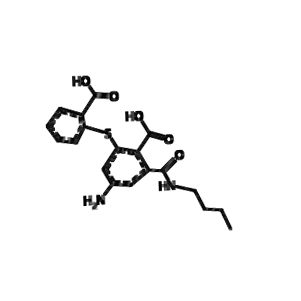 CCCCNC(=O)c1cc(N)cc(Sc2ccccc2C(=O)O)c1C(=O)O